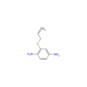 C=CCSc1cc(N)ccc1N